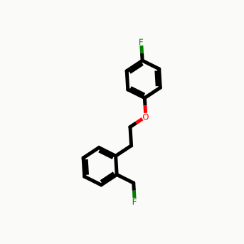 FCc1ccccc1CCOc1ccc(F)cc1